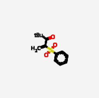 C=C(C(=O)C(C)(C)C)S(=O)(=O)c1ccccc1